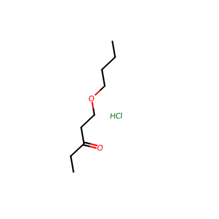 CCCCOCCC(=O)CC.Cl